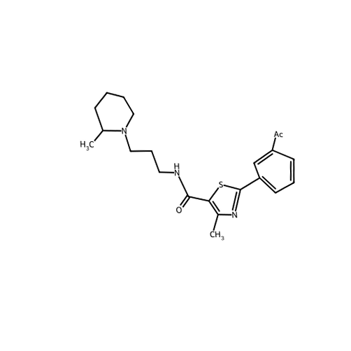 CC(=O)c1cccc(-c2nc(C)c(C(=O)NCCCN3CCCCC3C)s2)c1